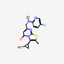 CCN(Cc1cc(=O)n2c(C3CC3C#N)c(C)sc2n1)c1ccc(F)cn1